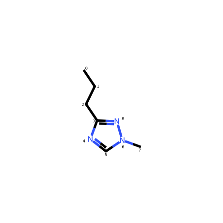 CCCc1ncn(C)n1